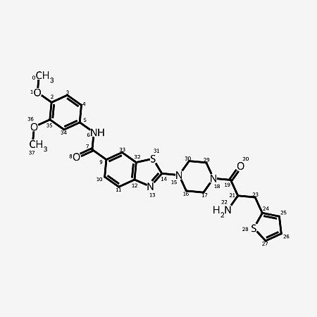 COc1ccc(NC(=O)c2ccc3nc(N4CCN(C(=O)C(N)Cc5cccs5)CC4)sc3c2)cc1OC